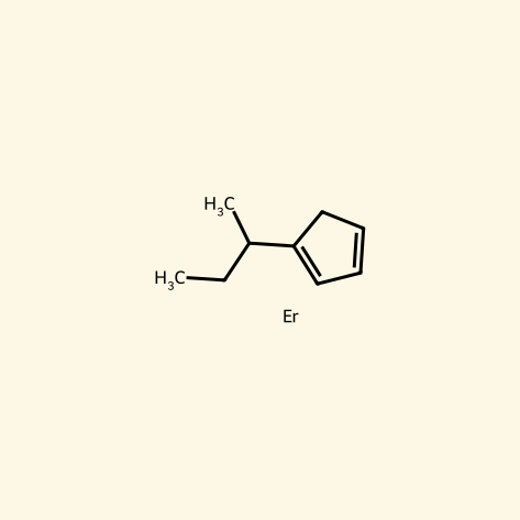 CCC(C)C1=CC=CC1.[Er]